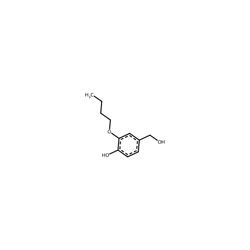 CCCCOc1cc(CO)ccc1O